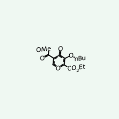 CCCCOc1c(C(=O)OCC)occ(C(=O)OC)c1=O